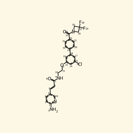 Nc1ccc(/C=C/C(=O)NCCOc2cc(Cl)cc(-c3ccc(C(=O)N4CC(F)(F)C4)cc3)c2)cn1